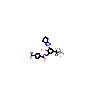 CC(C)(C)c1cc(CNC(=O)c2ccc(C(N)=O)cc2)c(O)c(-n2nc3ccccc3n2)c1